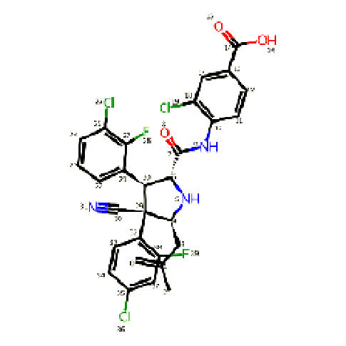 C=C(C)C[C@@H]1N[C@@H](C(=O)Nc2ccc(C(=O)O)cc2Cl)[C@H](c2cccc(Cl)c2F)[C@@]1(C#N)c1ccc(Cl)cc1F